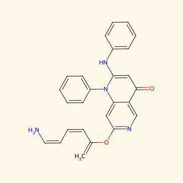 C=C(/C=C\C=C/N)Oc1cc2c(cn1)c(=O)cc(Nc1ccccc1)n2-c1ccccc1